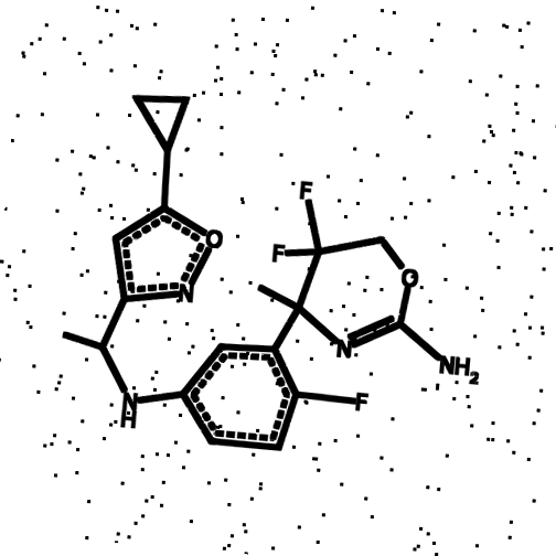 CC(Nc1ccc(F)c(C2(C)N=C(N)OCC2(F)F)c1)c1cc(C2CC2)on1